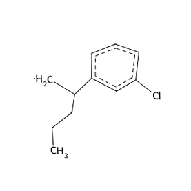 [CH2]C(CCC)c1cccc(Cl)c1